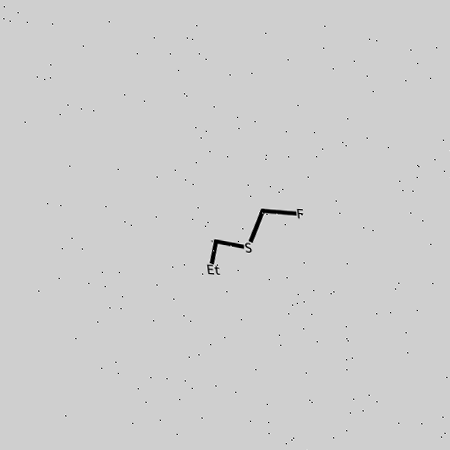 CC[CH]SCF